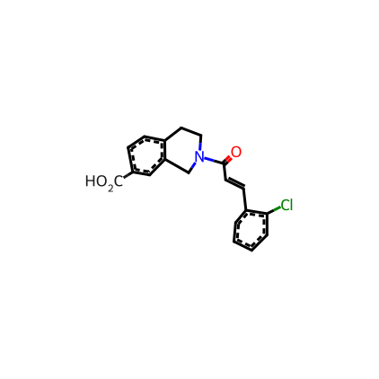 O=C(O)c1ccc2c(c1)CN(C(=O)C=Cc1ccccc1Cl)CC2